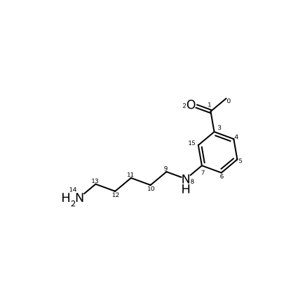 CC(=O)c1cccc(NCCCCCN)c1